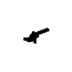 CCCCCCCCCCCCn1c(=O)c2ccc3c4cc(C#N)ccc4sc4c(C#N)cc(c1=O)c2c43